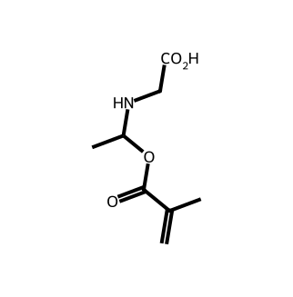 C=C(C)C(=O)OC(C)NCC(=O)O